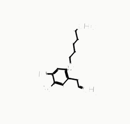 C=CCc1cc(C(C)=O)c(O)cc1OCCCCC[C]=O